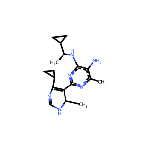 Cc1nc(C2=C(C3CC3)N=CNC2C)nc(N[C@@H](C)C2CC2)c1N